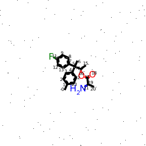 Cc1ccc(C(C)(c2ccc(F)cc2)C(C)OC(=O)C(C)N)cc1